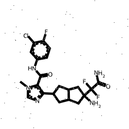 Cn1cnc(C2CC3CC(N)(C(F)(F)C(N)=O)CC3C2)c1C(=O)Nc1ccc(F)c(Cl)c1